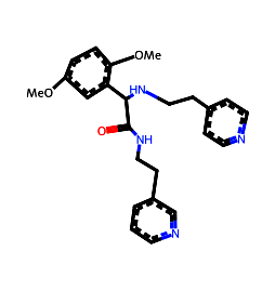 COc1ccc(OC)c(C(NCCc2ccncc2)C(=O)NCCc2cccnc2)c1